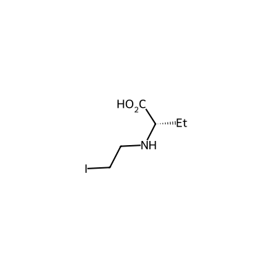 CC[C@H](NCCI)C(=O)O